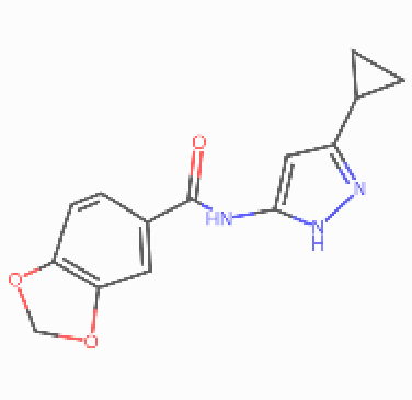 O=C(Nc1cc(C2CC2)n[nH]1)c1ccc2c(c1)OCO2